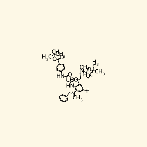 CN(CCC(O)c1cc(F)cc(N(C)Cc2ccccc2)c1NC(=O)CC(=O)Nc1ccc(C(=O)OC(C)(C)C)cc1)C(=O)OC(C)(C)C